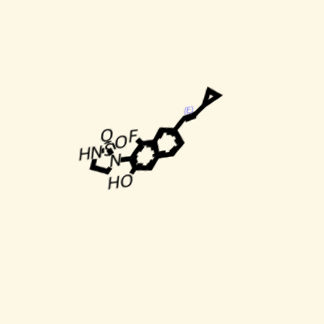 O=S1(=O)NCCN1c1c(O)cc2ccc(/C=C/C3CC3)cc2c1F